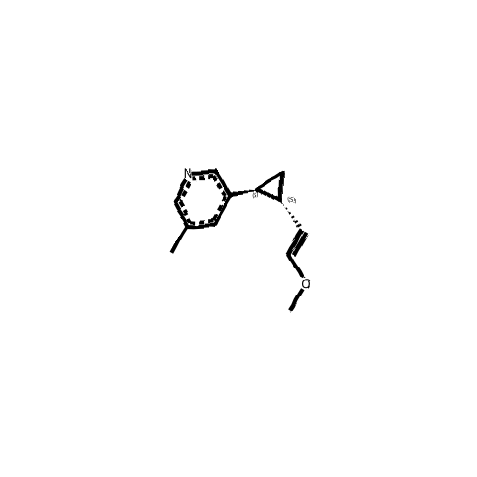 COC=C[C@H]1C[C@@H]1c1cncc(C)c1